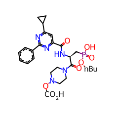 CCCCOP(=O)(O)C[C@H](NC(=O)c1cc(C2CC2)nc(-c2ccccc2)n1)C(=O)N1CCN(OC(=O)O)CC1